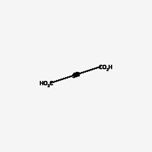 O=C(O)CCCCCCCCCCCCCCCCCCCSSSSSCCCCCCCCCCCCCCCCCCCC(=O)O